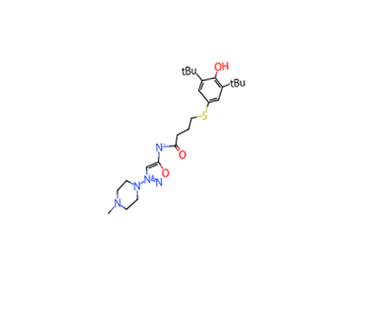 CN1CCN([n+]2cc([N-]C(=O)CCCSc3cc(C(C)(C)C)c(O)c(C(C)(C)C)c3)on2)CC1